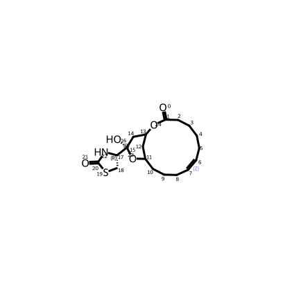 O=C1CCCC/C=C\CCCC2CC(C[C@](O)([C@@H]3CSC(=O)N3)O2)O1